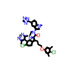 Cc1cc(OCCCc2c3n(c4c(-c5c(C)ncnc5C)c(Cl)ccc24)[C@H](C)CN(c2cn(C)c4ccc(-c5ncn(C)n5)cc24)C3=O)cc(C)c1Cl